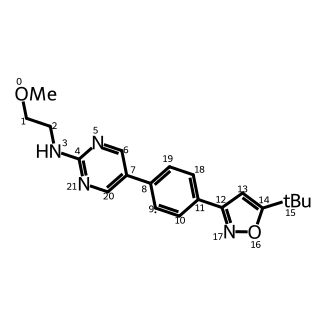 COCCNc1ncc(-c2[c]cc(-c3cc(C(C)(C)C)on3)cc2)cn1